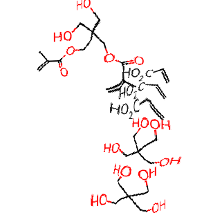 C=C(C)C(=O)OCC(CO)(CO)COC(=O)C(=C)C.C=CC(=O)O.C=CC(=O)O.C=CC(=O)O.OCC(CO)(CO)CO.OCC(CO)(CO)CO